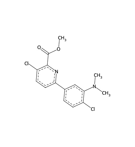 COC(=O)c1nc(-c2ccc(Cl)c(N(C)C)c2)ccc1Cl